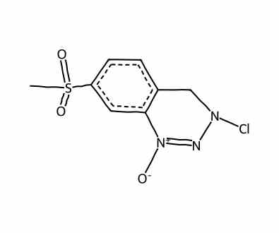 CS(=O)(=O)c1ccc2c(c1)[N+]([O-])=NN(Cl)C2